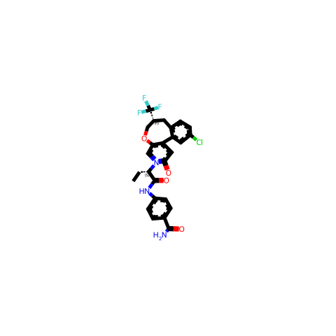 CC[C@@H](C(=O)Nc1ccc(C(N)=O)cc1)n1cc2c(cc1=O)-c1cc(Cl)ccc1C[C@@H](C(F)(F)F)CO2